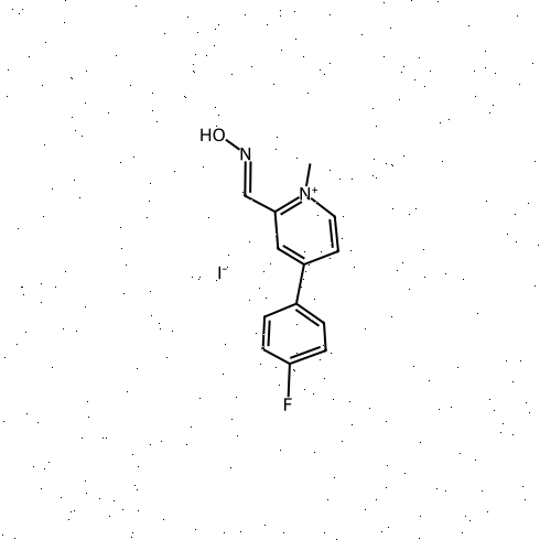 C[n+]1ccc(-c2ccc(F)cc2)cc1/C=N/O.[I-]